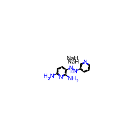 Nc1ccc(/N=N/c2cccnc2)c(N)n1.[NaH].[NaH]